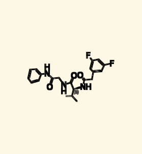 CC(C)[C@H](NC(=O)Cc1cc(F)cc(F)c1)C(=O)NCC(=O)Nc1ccccc1